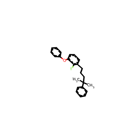 CC(C)(CCCc1cccc(Oc2ccccc2)c1F)c1ccccc1